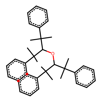 CC(C)(c1ccccc1)C(OC(C(C)(C)c1ccccc1)C(C)(C)c1ccccc1)C(C)(C)c1ccccc1